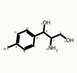 NC(CO)C(O)c1ccc(I)cc1